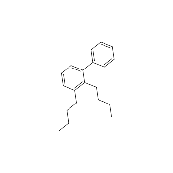 CCCCc1cccc(-c2[c]cccc2)c1CCCC